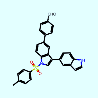 Cc1ccc(S(=O)(=O)n2cc(-c3ccc4[nH]ccc4c3)c3cc(-c4ccc(C=O)cc4)ccc32)cc1